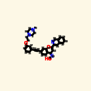 CN1CCN(CCOc2cccc(C#Cc3ccc4/c(=N\O)cc(-c5cc6ccccc6cn5)oc4c3)c2)CC1